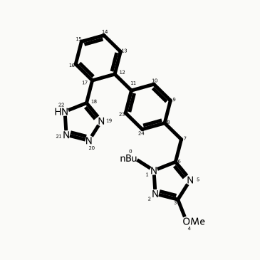 CCCCn1nc(OC)nc1Cc1ccc(-c2ccccc2-c2nnn[nH]2)cc1